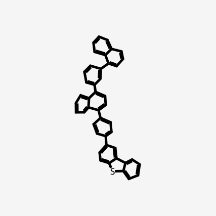 c1cc(-c2cccc3ccccc23)cc(-c2ccc(-c3ccc(-c4ccc5sc6ccccc6c5c4)cc3)c3ccccc23)c1